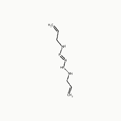 C=CCNP=NPNCC=C